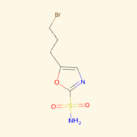 NS(=O)(=O)c1ncc(CCCBr)o1